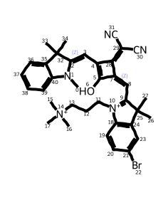 CN1/C(=C\C2=C(O)C(=C\C3=[N+](CCC[N+](C)(C)C)c4ccc(Br)cc4C3(C)C)/C2=C(C#N)C#N)C(C)(C)c2ccccc21